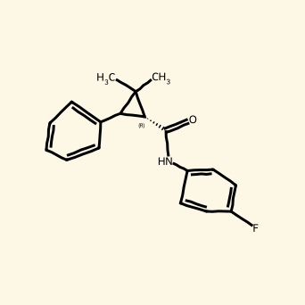 CC1(C)C(c2ccccc2)[C@H]1C(=O)Nc1ccc(F)cc1